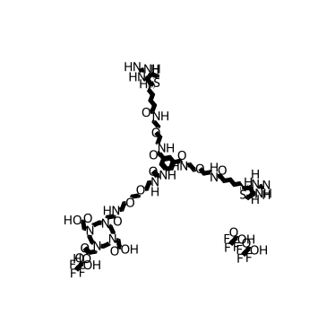 N=C1N[C@H]2[C@H](CS[C@H]2CCCCC(=O)NCCOCCNC(=O)c2cc(NC(=O)NCCOCCOCCNC(=O)CN3CCN(CC(=O)O)CCN(CC(=O)O)CCN(CC(=O)O)CC3)cc(C(=O)NCCOCCNC(=O)CCCC[C@@H]3SC[C@@H]4NC(=N)N[C@@H]43)c2)N1.O=C(O)C(F)(F)F.O=C(O)C(F)(F)F.O=C(O)C(F)(F)F